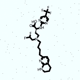 O=C(O)[C@H](CCN(CCCCc1ccc2c(n1)NCCC2)CC(F)F)Nc1ncc(C(F)(F)F)cn1